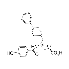 C[C@H](C[C@@H](Cc1ccc(-c2ccccc2)cc1)NC(=O)c1ccc(O)cc1)C(=O)O